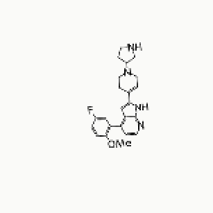 COc1ccc(F)cc1-c1ccnc2[nH]c(C3=CCN(C4CCNC4)CC3)cc12